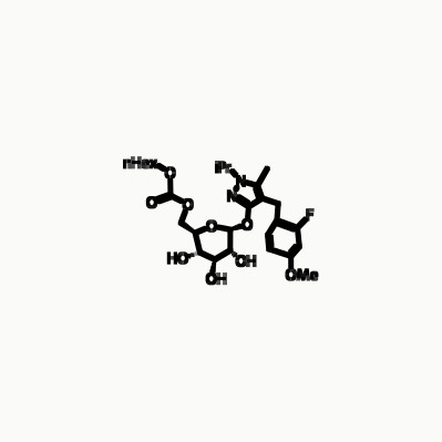 CCCCCCOC(=O)OC[C@H]1O[C@@H](Oc2nn(C(C)C)c(C)c2Cc2ccc(OC)cc2F)[C@H](O)[C@@H](O)[C@@H]1O